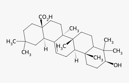 CC1(C)CC[C@]2(C(=O)O)CC[C@]3(C)C(=CC[C@@H]4[C@@]5(C)CC[C@H](O)C(C)(C)C5CC[C@]43C)[C@H]2C1